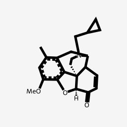 COc1cc(C)c2c3c1O[C@@H]1C(=O)C=CC4C(C2)N(CC2CC2)CC[C@]341